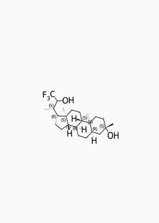 C[C@H](C(O)C(F)(F)F)[C@H]1CC[C@H]2[C@@H]3CC[C@@H]4C[C@@](C)(O)CC[C@]4(C)[C@H]3CC[C@]12C